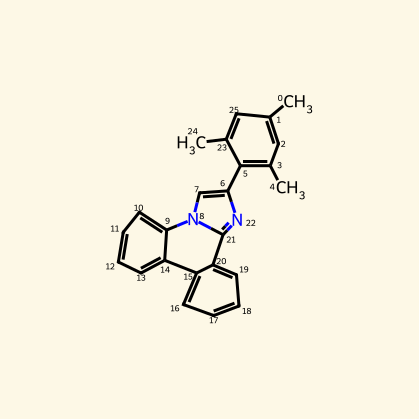 Cc1cc(C)c(-c2cn3c4ccccc4c4ccccc4c3n2)c(C)c1